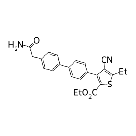 CCOC(=O)c1sc(CC)c(C#N)c1-c1ccc(-c2ccc(CC(N)=O)cc2)cc1